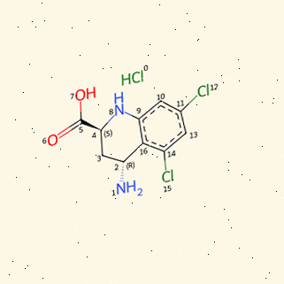 Cl.N[C@@H]1C[C@@H](C(=O)O)Nc2cc(Cl)cc(Cl)c21